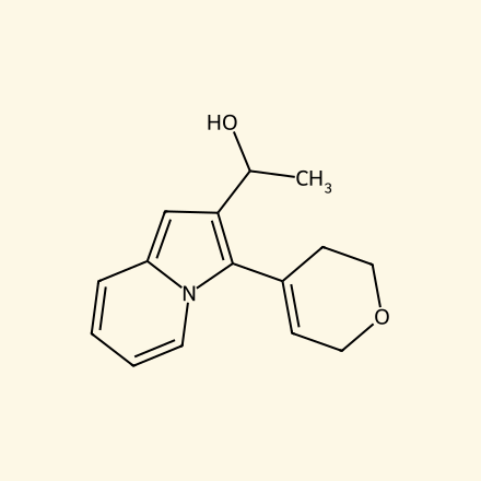 CC(O)c1cc2ccccn2c1C1=CCOCC1